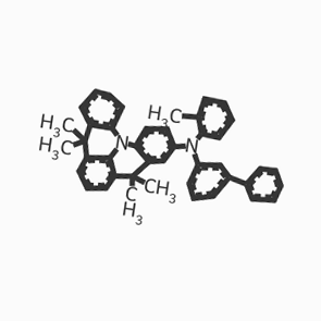 Cc1ccccc1N(c1cccc(-c2ccccc2)c1)c1ccc2c(c1)C(C)(C)c1cccc3c1N2c1ccccc1C3(C)C